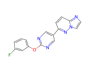 Fc1cccc(Oc2ncc(-c3ccc4nccn4n3)cn2)c1